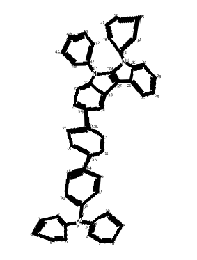 c1ccc(N(c2ccccc2)c2ccc(-c3ccc(-c4ccc5c(c4)c4c6ccccc6n(-c6ccccc6)c4n5-c4ccccc4)cc3)cc2)cc1